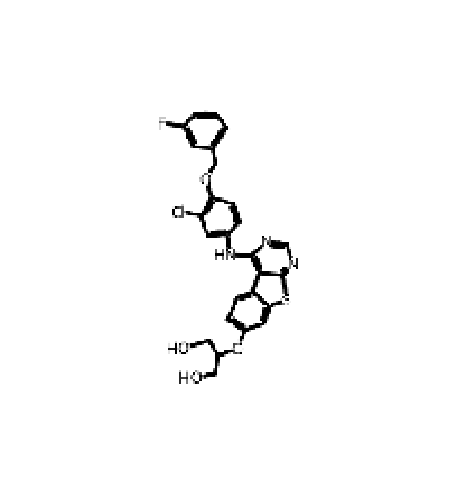 OCC(CO)Oc1ccc2c(c1)sc1ncnc(Nc3ccc(OCc4cccc(F)c4)c(Cl)c3)c12